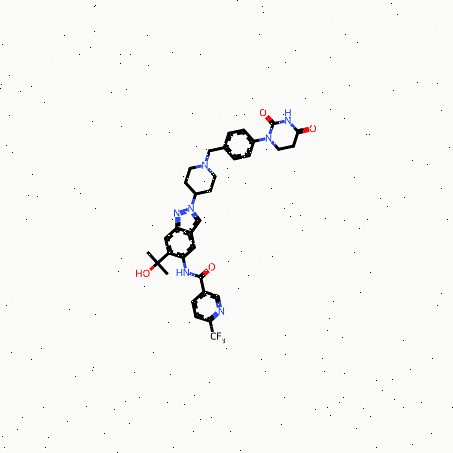 CC(C)(O)c1cc2nn(C3CCN(Cc4ccc(N5CCC(=O)NC5=O)cc4)CC3)cc2cc1NC(=O)c1ccc(C(F)(F)F)nc1